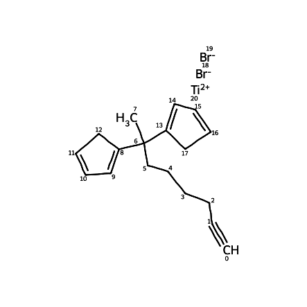 C#CCCCCC(C)(C1=CC=CC1)C1=CC=CC1.[Br-].[Br-].[Ti+2]